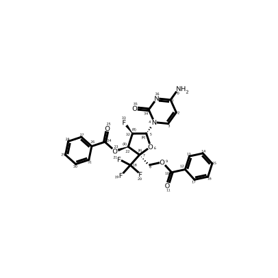 Nc1ccn([C@@H]2O[C@@](COC(=O)c3ccccc3)(C(F)(F)F)[C@@H](OC(=O)c3ccccc3)[C@H]2F)c(=O)n1